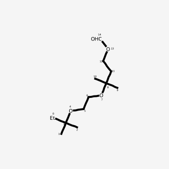 CCC(C)(C)OCCOC(C)(C)CCOC=O